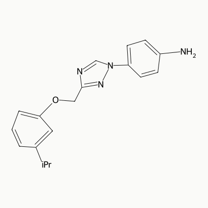 CC(C)c1cccc(OCc2ncn(-c3ccc(N)cc3)n2)c1